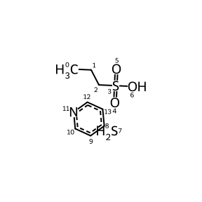 CCCS(=O)(=O)O.S.c1ccncc1